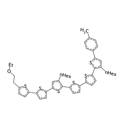 CCCCCCc1cc(-c2ccc(C)cc2)sc1-c1ccc(-c2ccc(-c3sc(-c4ccc(-c5ccc(CCOCC)s5)s4)cc3CCCCCC)s2)s1